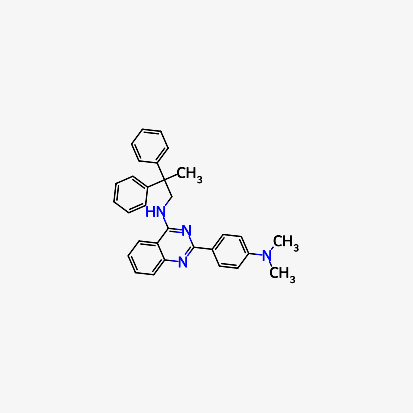 CN(C)c1ccc(-c2nc(NCC(C)(c3ccccc3)c3ccccc3)c3ccccc3n2)cc1